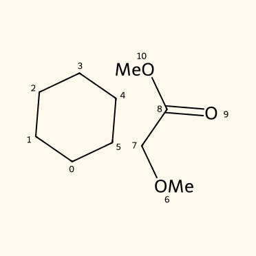 C1CCCCC1.COCC(=O)OC